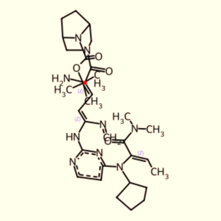 C=N/C(=C\C=C(/N)C(=O)N1CC2CCC(C1)N2C(=O)OC(C)(C)C)Nc1nccc(N(/C(=C\C)C(=O)N(C)C)C2CCCC2)n1